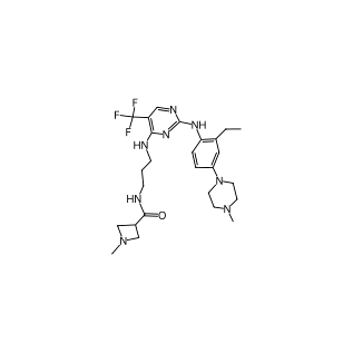 CCc1cc(N2CCN(C)CC2)ccc1Nc1ncc(C(F)(F)F)c(NCCCNC(=O)C2CN(C)C2)n1